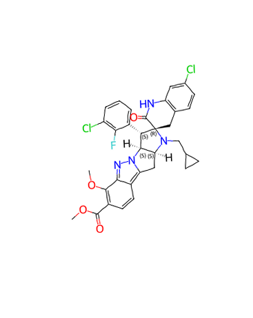 COC(=O)c1ccc2c3n(nc2c1OC)[C@@H]1[C@H](C3)N(CC2CC2)[C@]2(Cc3ccc(Cl)cc3NC2=O)[C@H]1c1cccc(Cl)c1F